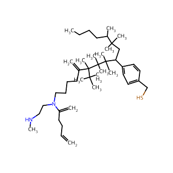 C=CCCC(=C)N(CCCCC(=C)C(C)(C(C)(C)C)C(C)(C)C(C)(C)C(CC(C)(C)C(C)CCCC)c1ccc(CS)cc1)CCNC